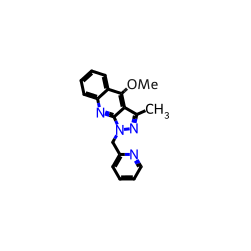 COc1c2ccccc2nc2c1c(C)nn2Cc1ccccn1